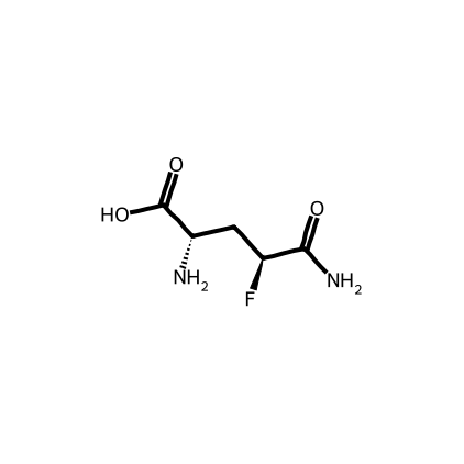 NC(=O)[C@@H](F)C[C@H](N)C(=O)O